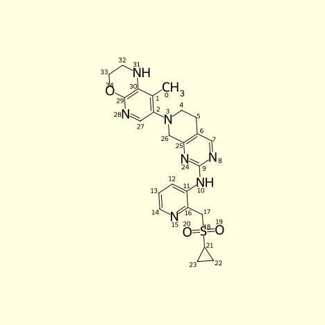 Cc1c(N2CCc3cnc(Nc4cccnc4CS(=O)(=O)C4CC4)nc3C2)cnc2c1NCCO2